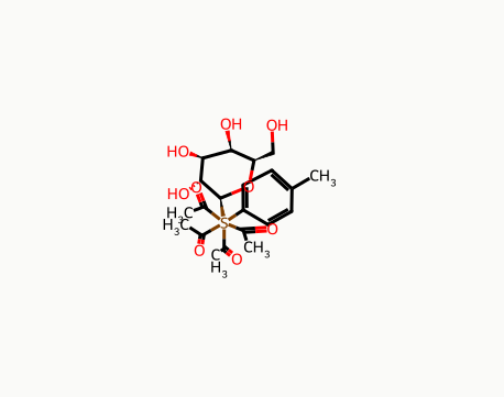 CC(=O)S(C(C)=O)(C(C)=O)(C(C)=O)(c1ccc(C)cc1)[C@@H]1O[C@H](CO)[C@H](O)[C@H](O)[C@H]1O